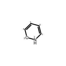 C1=CNOC=C1